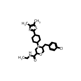 CCNC(=O)C1CN(C2CCC(c3nc(C)c(C)s3)CC2)C(Cc2ccc(Cl)cc2)CO1